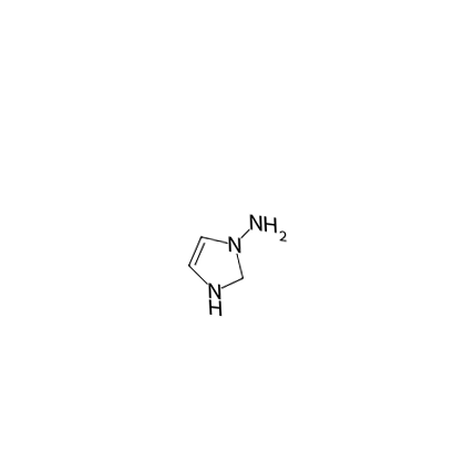 NN1C=CNC1